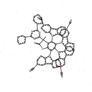 CC1(c2nc(-c3ccccc3)nc(-c3ccccc3)n2)C(=O)Oc2c(-n3c4ccccc4c4cc(C#N)ccc43)c(-n3c4ccccc4c4cc(C#N)ccc43)c(-n3c4ccccc4c4cc(C#N)ccc43)c(-n3c4ccccc4c4cc(C#N)ccc43)c21